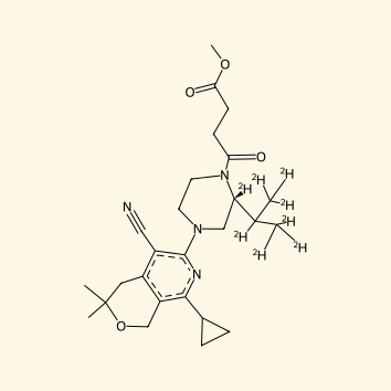 [2H]C([2H])([2H])C([2H])(C([2H])([2H])[2H])[C@]1([2H])CN(c2nc(C3CC3)c3c(c2C#N)CC(C)(C)OC3)CCN1C(=O)CCC(=O)OC